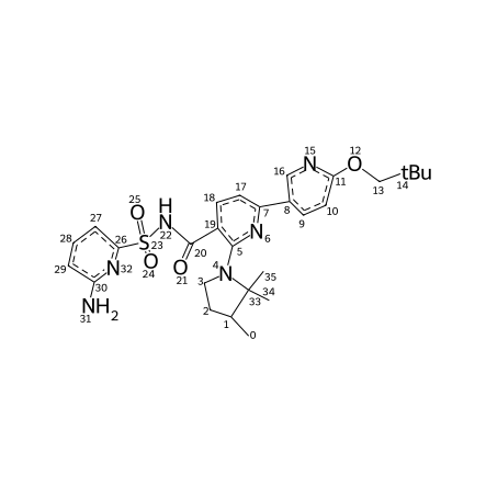 CC1CCN(c2nc(-c3ccc(OCC(C)(C)C)nc3)ccc2C(=O)NS(=O)(=O)c2cccc(N)n2)C1(C)C